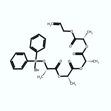 C=CCOC(=O)[C@H](C)OC(=O)[C@H](C)OC(=O)[C@H](C)OC(=O)[C@H](C)O[Si](c1ccccc1)(c1ccccc1)C(C)(C)C